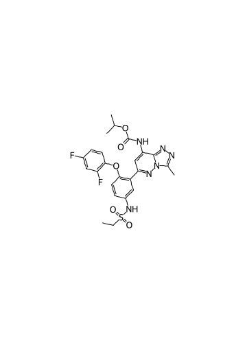 CCS(=O)(=O)Nc1ccc(Oc2ccc(F)cc2F)c(-c2cc(NC(=O)OC(C)C)c3nnc(C)n3n2)c1